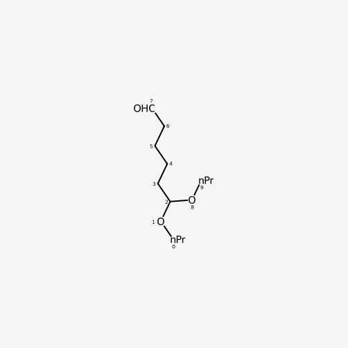 CCCOC(CCCCC=O)OCCC